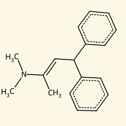 CC(=CC(c1ccccc1)c1ccccc1)N(C)C